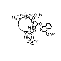 COc1cnc(O[C@@H]2C[C@H]3C(=O)NC4(C(=O)NS(=O)(=O)C5(CF)CC5)CC4CCCC[C@H](C)C[C@@H](C)[C@H](NC(=O)O)C(=O)N3C2)c2ccccc12